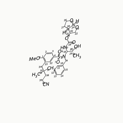 COc1ccc(S(=O)(=O)N(Cc2ccccc2)C(NC(=O)O[C@@H]2CO[C@@H]3OCC[C@@H]32)[C@@H](C)O)cc1CC(C)(C)CCC#N